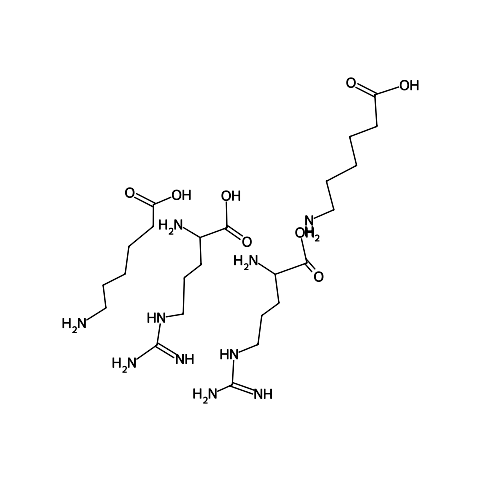 N=C(N)NCCCC(N)C(=O)O.N=C(N)NCCCC(N)C(=O)O.NCCCCCC(=O)O.NCCCCCC(=O)O